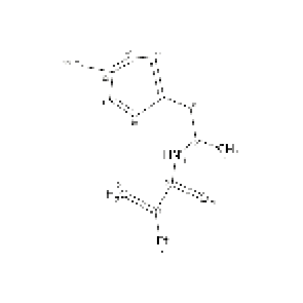 C=C(CC)C(=O)NC(C)Cc1ccc(F)cc1